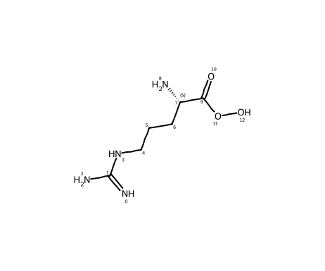 N=C(N)NCCC[C@H](N)C(=O)OO